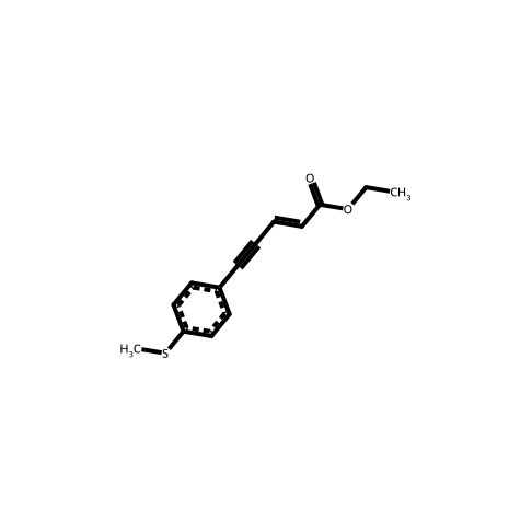 CCOC(=O)C=CC#Cc1ccc(SC)cc1